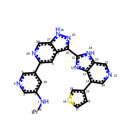 CC(C)Nc1cncc(-c2cc3c(-c4nc5c(-c6ccsc6)cncc5[nH]4)n[nH]c3cn2)c1